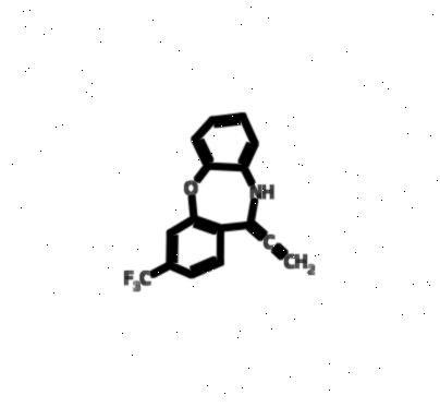 C=C=C1Nc2ccccc2Oc2cc(C(F)(F)F)ccc21